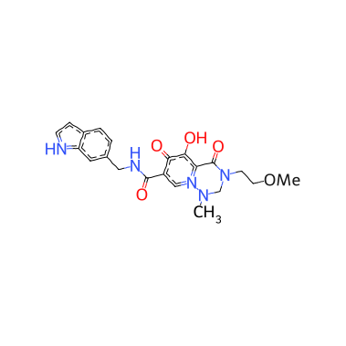 COCCN1CN(C)n2cc(C(=O)NCc3ccc4cc[nH]c4c3)c(=O)c(O)c2C1=O